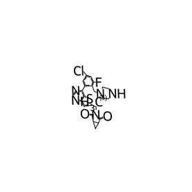 C[C@H]1CNCCN1Cc1c(F)cc(Cl)cc1-c1ncnc2cc(CN3C(=O)C4CC4C3=O)sc12